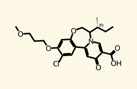 CC[C@@H](C)C1COc2cc(OCCCOC)c(Cl)cc2-c2cc(=O)c(C(=O)O)cn21